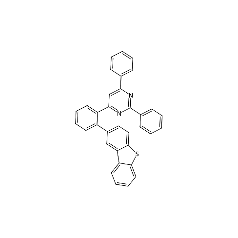 c1ccc(-c2cc(-c3ccccc3-c3ccc4sc5ccccc5c4c3)nc(-c3ccccc3)n2)cc1